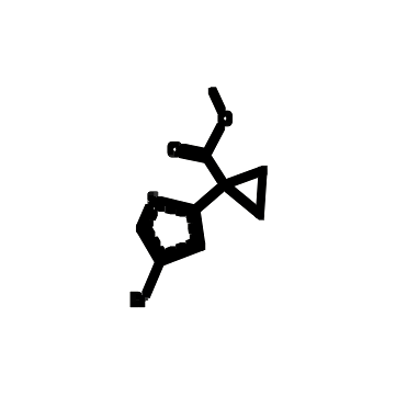 COC(=O)C1(c2cc(Br)cs2)CC1